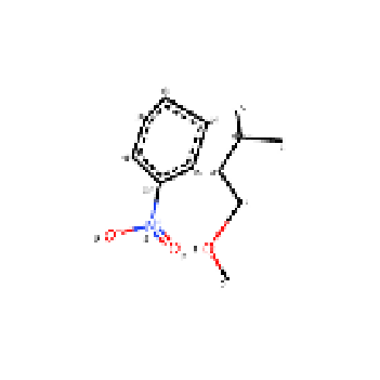 COCCC(C)C.O=[N+]([O-])c1ccccc1